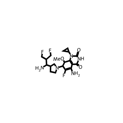 COC1c2c(c(=O)[nH]c(=O)n2C2CC2)C(N)=C(F)C1N1CCC(C(N)C(CF)CF)C1